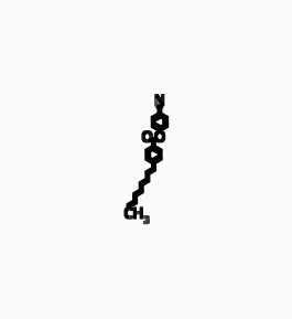 CCCCCCCCCc1ccc(C(=O)Oc2ccc(C#N)cc2)cc1